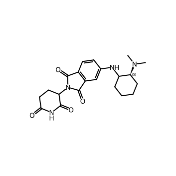 CN(C)[C@H]1CCCCC1Nc1ccc2c(c1)C(=O)N(C1CCC(=O)NC1=O)C2=O